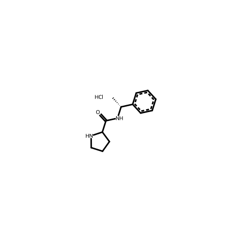 C[C@@H](NC(=O)C1CCCN1)c1ccccc1.Cl